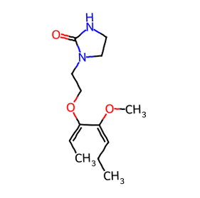 C/C=C(OCCN1CCNC1=O)\C(=C/CC)OC